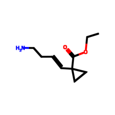 CCOC(=O)C1(C=CCCN)CC1